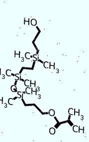 C=C(C)C(=O)OCCC[Si](C)(C)O[Si](C)(C)CC[Si](C)(C)CCCO